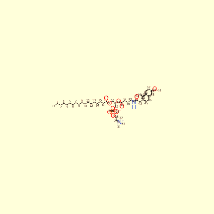 CCCCCCCCCCCCCCCCCC(=O)OC[C@H](COP(=O)([O-])OCC[N+](C)(C)C)OC(=O)CCCNC(=O)Cc1ccc2cc(OC)ccc2c1C